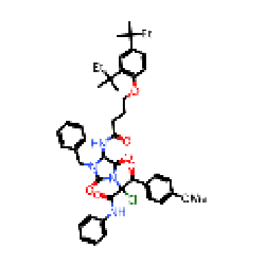 CCC(C)(C)c1ccc(OCCCC(=O)NC2C(=O)N(C(Cl)(C(=O)Nc3ccccc3)C(=O)c3ccc(OC)cc3)C(=O)N2Cc2ccccc2)c(C(C)(C)CC)c1